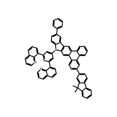 CC1(C)c2ccccc2-c2ccc(-c3ccc4c(c3)c3ccccc3c3cc5c6cc(-c7ccccc7)ccc6n(-c6cc(-c7cccc8cccnc78)nc(-c7cccc8cccnc78)c6)c5cc43)cc21